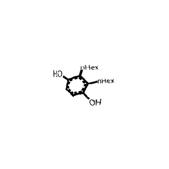 CCCCCCc1c(O)ccc(O)c1CCCCCC